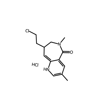 CC1=CNC2=CC(CCCl)CN(C)C(=O)C2=C1.Cl